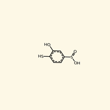 O=S(O)c1ccc(S)c(O)c1